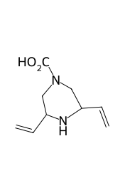 C=CC1CN(C(=O)O)CC(C=C)N1